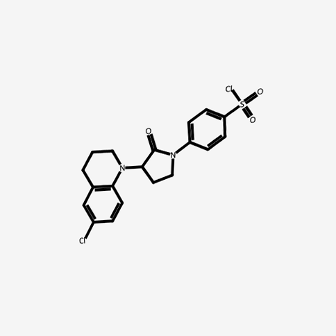 O=C1C(N2CCCc3cc(Cl)ccc32)CCN1c1ccc(S(=O)(=O)Cl)cc1